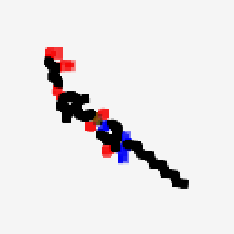 CCCCCCCCCC1=NC2(CCN(S(=O)(=O)C=Cc3c(C)cc(OCCC(O)CO)cc3C)CC2)C(=O)N1